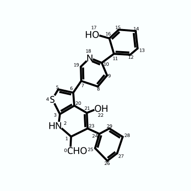 O=CC1Nc2scc(-c3ccc(-c4ccccc4O)nc3)c2C(O)=C1c1ccccc1